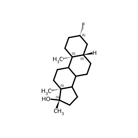 C[C@]1(O)CCC2C3CC[C@H]4C[C@@H](F)CC[C@]4(C)C3CC[C@@]21C